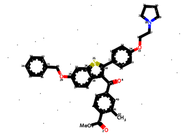 COC(=O)c1ccc(C(=O)c2c(-c3ccc(OCCN4CCCC4)cc3)sc3cc(OCc4ccccc4)ccc23)cc1C